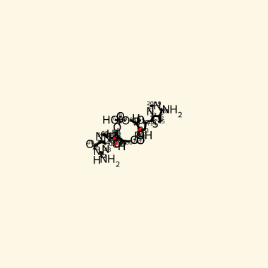 CO[C@H]1[C@H]2OP(=O)(O)OC[C@H]3O[C@@H](c4scc5c(N)ncnc45)C[C@@]3(F)P(=O)(O)OC[C@H]1O[C@H]2n1cnc2c(=O)[nH]c(N)nc21